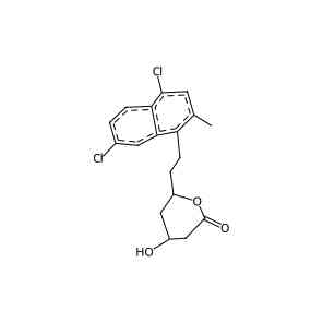 Cc1cc(Cl)c2ccc(Cl)cc2c1CCC1CC(O)CC(=O)O1